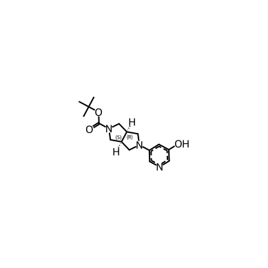 CC(C)(C)OC(=O)N1C[C@@H]2CN(c3cncc(O)c3)C[C@@H]2C1